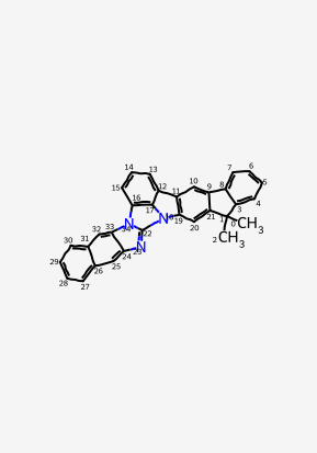 CC1(C)c2ccccc2-c2cc3c4cccc5c4n(c3cc21)c1nc2cc3ccccc3cc2n51